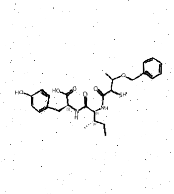 CC[C@H](C)[C@H](NC(=O)C(S)C(C)OCc1ccccc1)C(=O)N[C@@H](Cc1ccc(O)cc1)C(=O)O